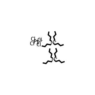 CCCC[N+](CCCC)(CCCC)CCCC.CCCC[N+](CCCC)(CCCC)CCCC.[Cl][Pt-2]([Cl])([Cl])[Cl]